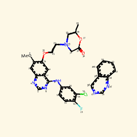 COc1cc2ncnc(Nc3ccc(F)c(Cl)c3)c2cc1OCCN1CC(=O)OC(C)C1.c1ccc2ncncc2c1